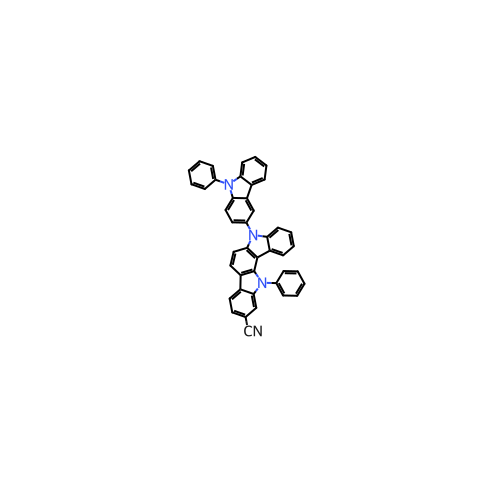 N#Cc1ccc2c3ccc4c(c5ccccc5n4-c4ccc5c(c4)c4ccccc4n5-c4ccccc4)c3n(-c3ccccc3)c2c1